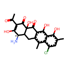 CC(=O)C1=C(O)[C@H](N)C2Cc3c(c(O)c4c(O)c(C)cc(Cl)c4c3C)C(=O)C2(O)C1=O